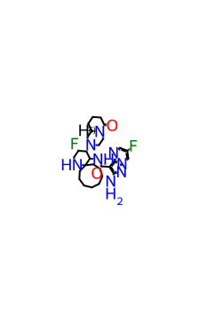 Nc1nn2cc(F)cnc2c1C(=O)NC1C(N2CCN3C(=O)CCC[C@H]3C2)C(F)CNC12CCCCCCCC2